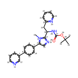 Cn1c(-c2ccc(-c3cccnc3)cc2)cnc1C(Cc1ccccn1)NC(=O)OC(C)(C)C